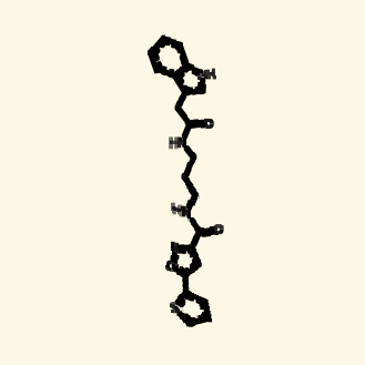 O=C(Cc1c[nH]c2ccccc12)NCCCNC(=O)c1cc(-c2cccs2)on1